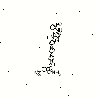 COc1cc(N2CCC(N3CCN(C(=O)C[C@H](OC(N)=O)c4ccc(-c5scnc5C)cc4)CC3)CC2)ccc1Nc1ncc(Cl)c(Nc2ccccc2P(C)(C)=O)n1